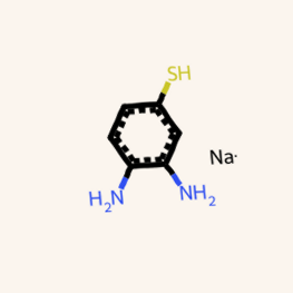 Nc1ccc(S)cc1N.[Na]